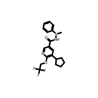 CN(NC(=O)c1cnc(OCC(F)(F)F)c(C2CCCC2)c1)c1ccccc1